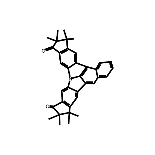 CC1(C)C(=O)c2cc3c(cc2C1(C)C)c1cc2ccccc2c2c4cc5c(cc4n3c12)C(=O)C(C)(C)C5(C)C